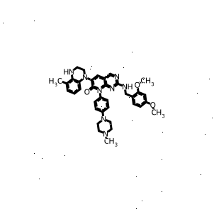 COc1ccc(CNc2ncc3cc(N4CCNc5c(C)cccc54)c(=O)n(-c4ccc(N5CCN(C)CC5)cc4)c3n2)c(OC)c1